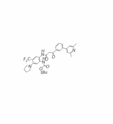 Cc1cc(-c2cccc(C(=O)CC(=O)Nc3cc(C(F)(F)F)c(N4CCCC4)cc3NC(=O)OC(C)(C)C)c2)cc(C)n1